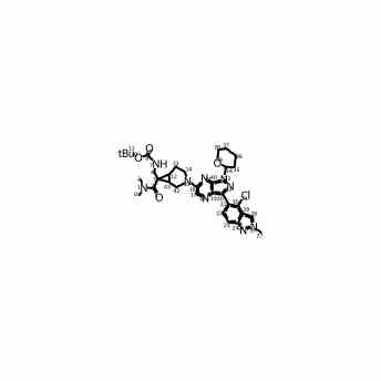 CN(C)C(=O)C1(CNC(=O)OC(C)(C)C)C2CCN(c3cnc4c(-c5ccc6nn(C)cc6c5Cl)nn(C5CCCCO5)c4n3)CC21